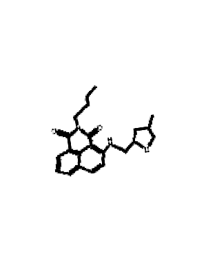 CCCCN1C(=O)c2cccc3ccc(NCC4CC(C)CO4)c(c23)C1=O